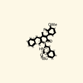 COc1cccc(-c2c(C)c(Cc3ccccc3)c(C)n(C(Cc3ccccc3)NC(=O)OC(C)(C)C)c2=O)c1F